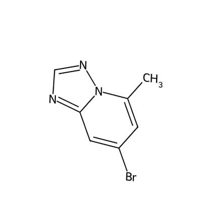 Cc1cc(Br)cc2ncnn12